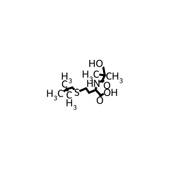 CC(C)(C)CSCCC(NC(=O)C(C)(C)CO)C(=O)O